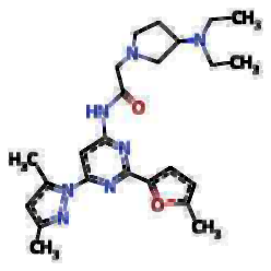 CCN(CC)[C@@H]1CCN(CC(=O)Nc2cc(-n3nc(C)cc3C)nc(-c3ccc(C)o3)n2)C1